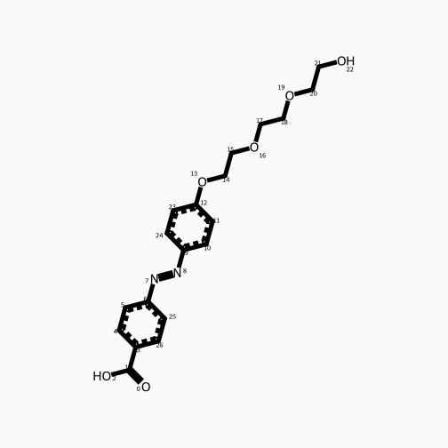 O=C(O)c1ccc(/N=N/c2ccc(OCCOCCOCCO)cc2)cc1